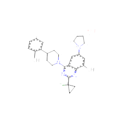 Cc1ccccc1C1CCN(c2nc(C3(F)CC3)nc3c(C)cc(N4CC[C@H](O)C4)cc23)CC1